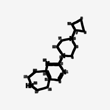 c1nc(N2CCN(C3CCC3)CC2)nc2c1CCNCC2